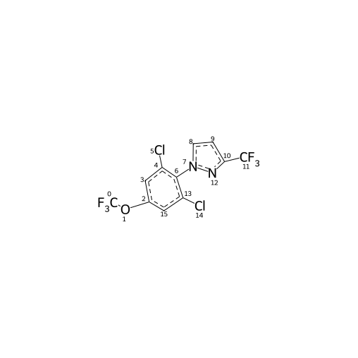 FC(F)(F)Oc1cc(Cl)c(-n2ccc(C(F)(F)F)n2)c(Cl)c1